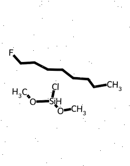 CCCCCCCCF.CO[SiH](Cl)OC